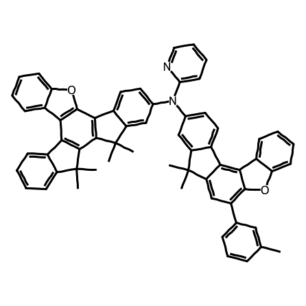 Cc1cccc(-c2cc3c(c4c2oc2ccccc24)-c2ccc(N(c4ccc5c(c4)C(C)(C)c4c6c(c7c(oc8ccccc87)c4-5)-c4ccccc4C6(C)C)c4ccccn4)cc2C3(C)C)c1